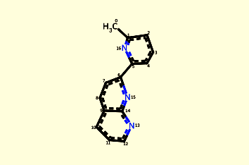 Cc1cccc(-c2ccc3cccnc3n2)n1